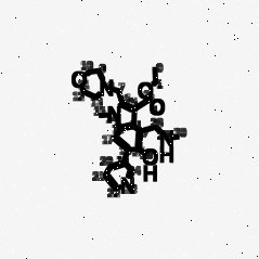 CCOC(=O)c1c(CN2CCOCC2)n(C)c2cc(-c3cccnc3)c(O)c(CNC)c12